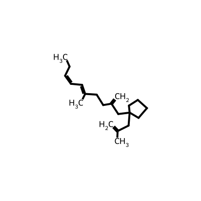 C=C(C)CC1(CC(=C)CC/C(C)=C/C=C\CC)CCCC1